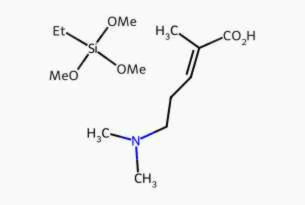 CC(=CCCN(C)C)C(=O)O.CC[Si](OC)(OC)OC